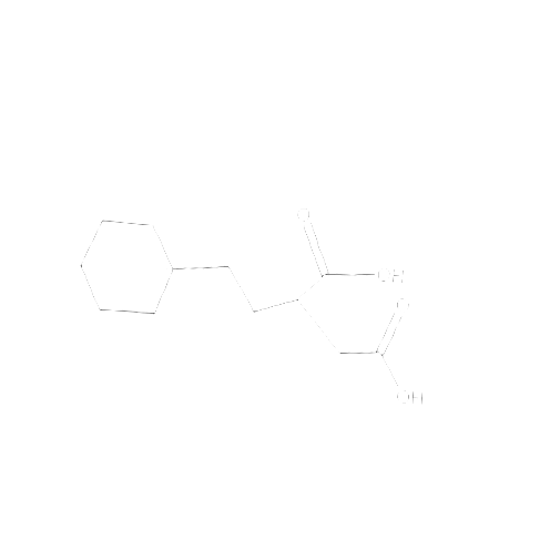 O=C(O)CC(CC[C]1CCCCC1)C(=O)O